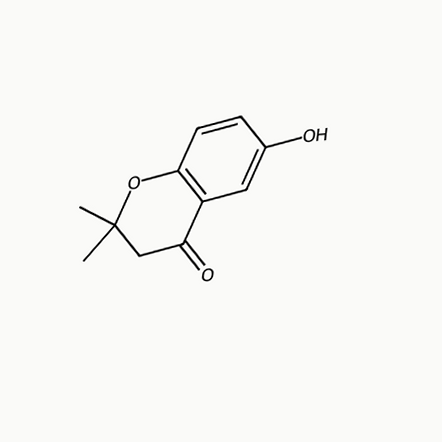 CC1(C)CC(=O)c2cc(O)ccc2O1